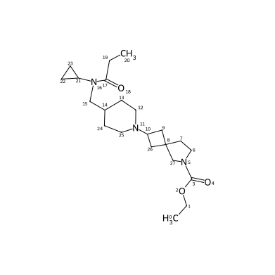 CCOC(=O)N1CCC2(CC(N3CCC(CN(C(=O)CC)C4CC4)CC3)C2)C1